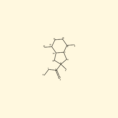 CCC(=O)C1(C)CC2C(C)CCC(C)C2C1